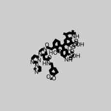 CC1CC(C)(C)Nc2c1cc1c(-c3cccc(CC(=O)N4CCN(c5ccnc(-n6ccnc6)n5)C(CC(=O)NCc5ccc6c(c5)OCO6)C4)c3C(=O)O)c3ccc(=N)c(S(=O)(=O)O)c-3oc1c2S(=O)(=O)O